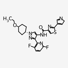 CCO[C@H]1CC[C@H](n2cc(NC(=O)c3csc(C4=CCN=C4)n3)c(-c3nc(F)ccc3F)n2)CC1